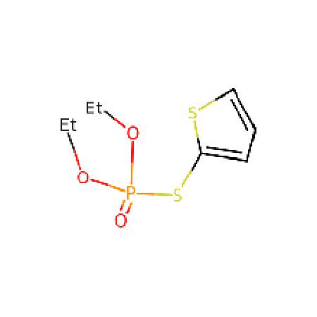 CCOP(=O)(OCC)Sc1cccs1